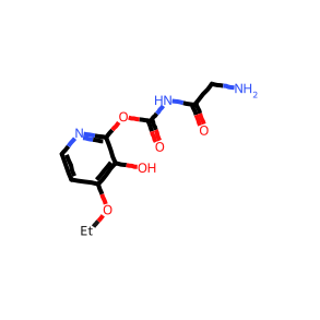 CCOc1ccnc(OC(=O)NC(=O)CN)c1O